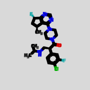 CC(C)NC[C@@H](C(=O)N1CCN(c2ncnc3c2[C@H](C)C[C@@H]3F)CC1)c1ccc(Cl)c(F)c1